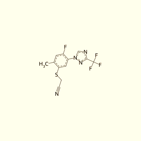 Cc1cc(F)c(-n2cnc(C(F)(F)F)n2)cc1SCC#N